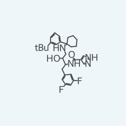 CC(C)(C)c1cccc(C2(NCC(O)C(Cc3cc(F)cc(F)c3)NC(=O)c3cn[nH]c3)CCCCC2)c1